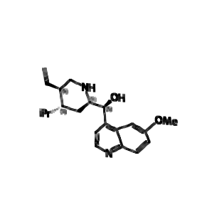 C=C[C@H]1CN[C@@H]([C@@H](O)c2ccnc3ccc(OC)cc23)C[C@@H]1C(C)C